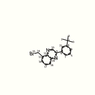 CC(C)(C)c1cccc(-c2cnc3c(CBr)cccc3n2)c1